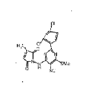 [C-]#[N+]c1c(NN2C(=O)C=C(C)C2=O)nc(-c2ccc(Cl)cc2Cl)nc1SC